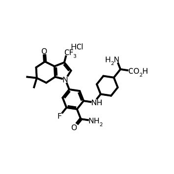 CC1(C)CC(=O)c2c(C(F)(F)F)cn(-c3cc(F)c(C(N)=O)c(NC4CCC(C(N)C(=O)O)CC4)c3)c2C1.Cl